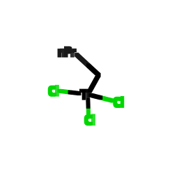 CCC[CH2][Ti]([Cl])([Cl])[Cl]